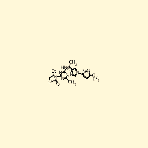 CC[C@H]1COC(=O)N1c1nc(C)nc(N[C@@H](C)c2cn(-c3ccc(OC(F)(F)F)nn3)cn2)n1